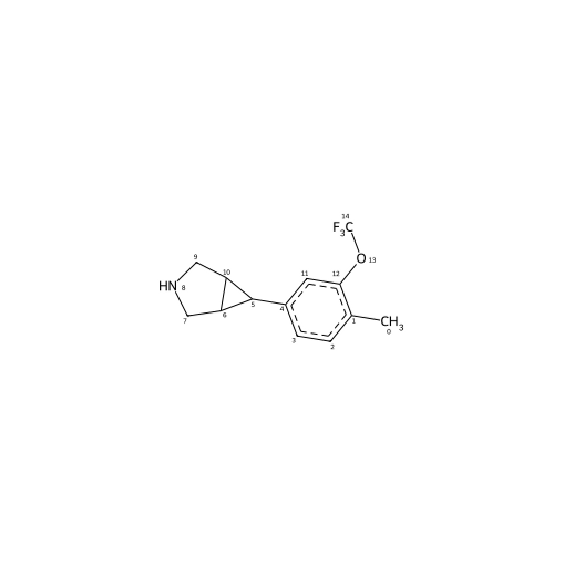 Cc1ccc(C2C3CNCC32)cc1OC(F)(F)F